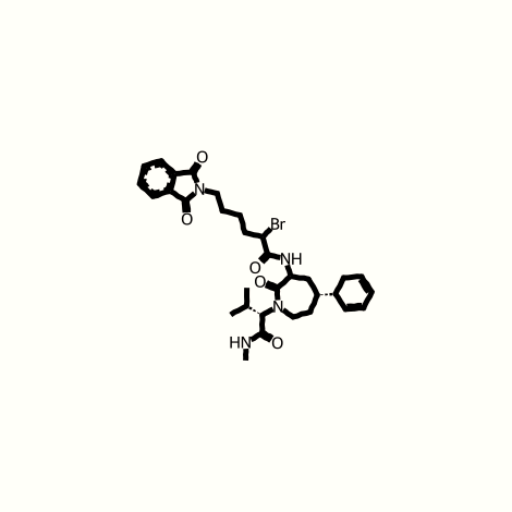 CNC(=O)[C@H](C(C)C)N1CC[C@@H](C2C=CC=CC2)CC(NC(=O)C(Br)CCCCN2C(=O)c3ccccc3C2=O)C1=O